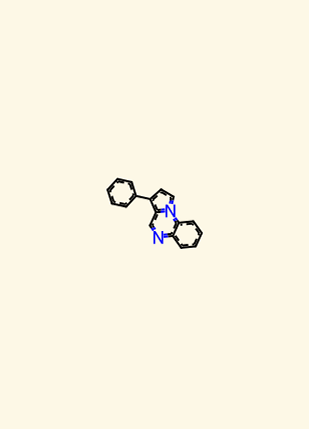 c1ccc(-c2ccn3c2cnc2ccccc23)cc1